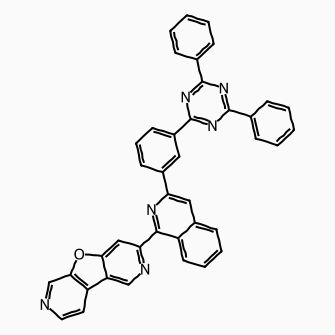 c1ccc(-c2nc(-c3ccccc3)nc(-c3cccc(-c4cc5ccccc5c(-c5cc6oc7cnccc7c6cn5)n4)c3)n2)cc1